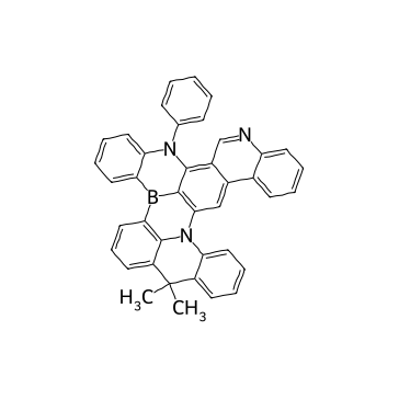 CC1(C)c2ccccc2N2c3cc4c(cnc5ccccc54)c4c3B(c3ccccc3N4c3ccccc3)c3cccc1c32